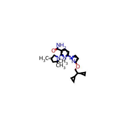 C[C@@H]1CN(c2nc(-n3ccc(OCC(C4CC4)C4CC4)n3)ccc2C(N)=O)C(C)(C)C1